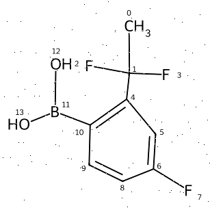 CC(F)(F)c1cc(F)ccc1B(O)O